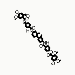 COc1cc(C=O)c(C(=O)Oc2ccc(C(=O)Nc3ccc(-c4ccc(NC(=O)c5ccc(OC(=O)c6cc(OC)c(OC)cc6OC)cc5)cc4C)c(C)c3)cc2)cc1OC